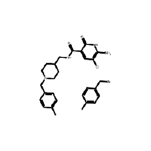 Cc1ccc(CBr)cc1.Cc1ccc(CN2CCC(CNC(=O)c3cc(Cl)c(N)[nH]c3=O)CC2)cc1